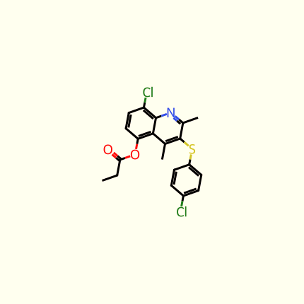 CCC(=O)Oc1ccc(Cl)c2nc(C)c(Sc3ccc(Cl)cc3)c(C)c12